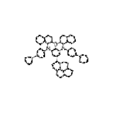 c1ccc(-c2ccc(N3c4cc(-c5ccc6ccc7cccc8ccc5c6c78)cc5c4B(c4ccc6ccccc6c43)c3ccc4ccccc4c3N5c3ccc(-c4ccccc4)cc3)cc2)cc1